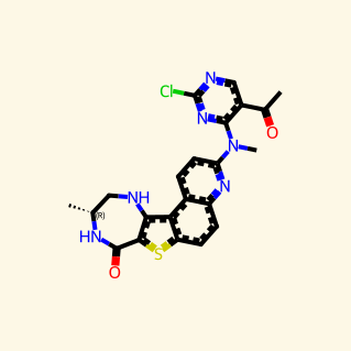 CC(=O)c1cnc(Cl)nc1N(C)c1ccc2c(ccc3sc4c(c32)NC[C@@H](C)NC4=O)n1